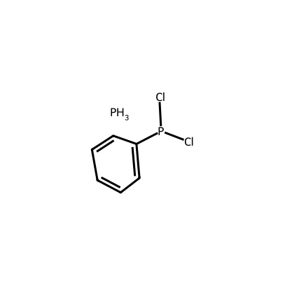 ClP(Cl)c1ccccc1.P